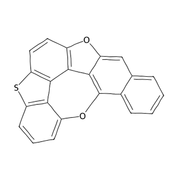 c1ccc2c(c1)cc1oc3ccc4sc5cccc6oc2c1c3c4c65